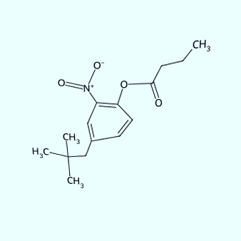 CCCC(=O)Oc1ccc(CC(C)(C)C)cc1[N+](=O)[O-]